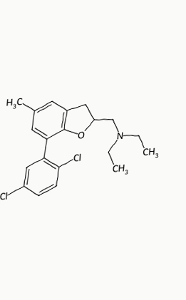 CCN(CC)CC1Cc2cc(C)cc(-c3cc(Cl)ccc3Cl)c2O1